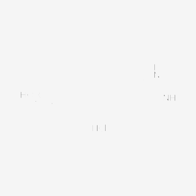 Cl.O=C(O)C12CCCCC1=C1C=CC3=C4CC5CNCNC5CC4CCC3C1CC2